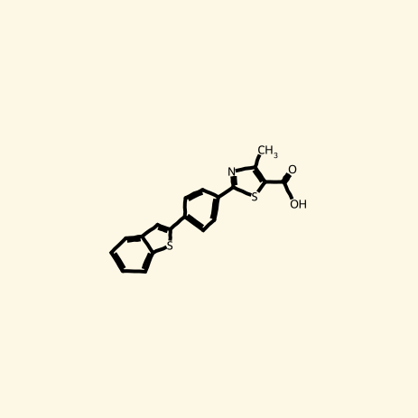 Cc1nc(-c2ccc(-c3cc4ccccc4s3)cc2)sc1C(=O)O